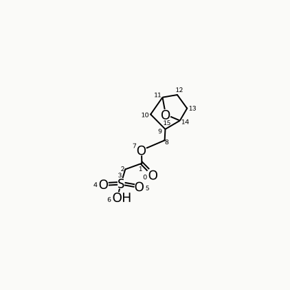 O=C(CS(=O)(=O)O)OCC1CC2CCC1O2